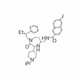 CC[C@H](CN1CCC(CNC(=O)c2ccc3cc(I)ccc3c2)NC(C2CCN(C(C)C)CC2)C1=O)c1ccccc1